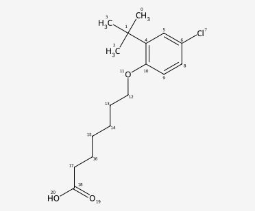 CC(C)(C)c1cc(Cl)ccc1OCCCCCCC(=O)O